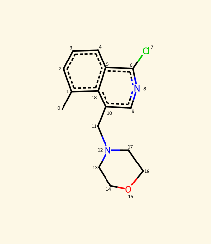 Cc1cccc2c(Cl)ncc(CN3CCOCC3)c12